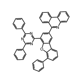 c1ccc(-c2nc(-c3ccccc3)nc(-c3cc(-c4nc5ccccc5c5ccccc45)cc4c3oc3c(-c5ccccc5)cccc34)n2)cc1